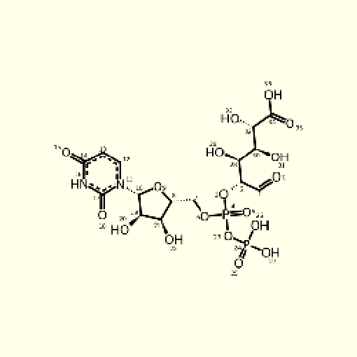 O=C[C@H](OP(=O)(OC[C@H]1O[C@@H](n2ccc(=O)[nH]c2=O)[C@H](O)[C@@H]1O)OP(=O)(O)O)[C@@H](O)[C@H](O)[C@H](O)C(=O)O